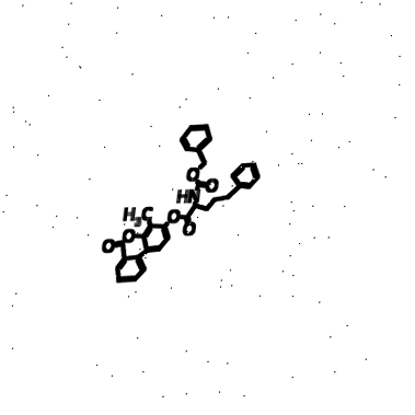 Cc1c(OC(=O)C(CCCc2ccccc2)NC(=O)OCc2ccccc2)ccc2c1oc(=O)c1ccccc12